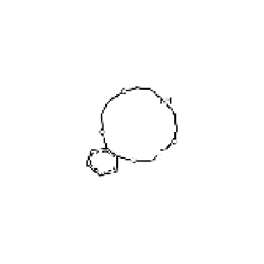 c1ccc2c(c1)OCCOCCNCCOCCO2